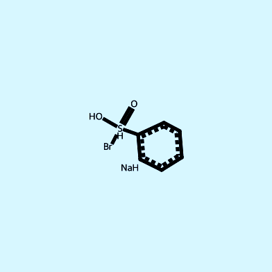 O=[SH](O)(Br)c1ccccc1.[NaH]